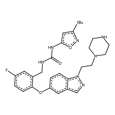 CC(C)(C)c1cc(NC(=O)NCc2cc(F)ccc2Oc2ccc3c(cnn3CCN3CCNCC3)c2)on1